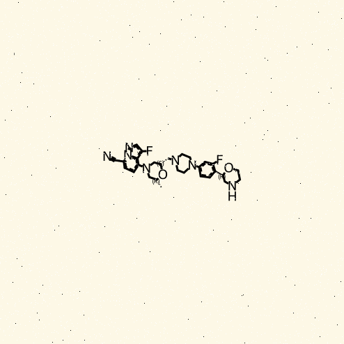 C[C@@H]1CN(c2ccc(C#N)n3ncc(F)c23)C[C@H](CN2CCN(c3ccc([C@@H]4CNCCO4)c(F)c3)CC2)O1